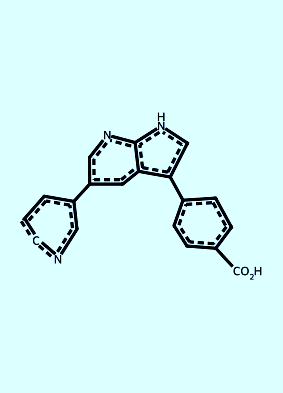 O=C(O)c1ccc(-c2c[nH]c3ncc(-c4cccnc4)cc23)cc1